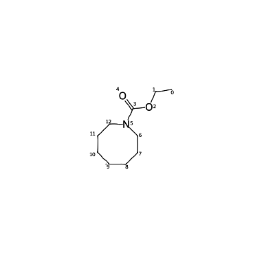 CCOC(=O)N1CCC[CH]CCC1